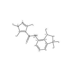 Cc1nn(C)c(C)c1C(=S)Nc1cccc2c1C(C)CC2(C)C